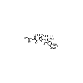 COc1cc(C(=O)Nc2nc(C(=O)NCCN(C(C)C)C(C)C)cs2)c(OC)cc1N.O=C(O)C=CC(=O)O